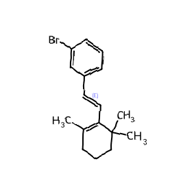 CC1=C(/C=C/c2cccc(Br)c2)C(C)(C)CCC1